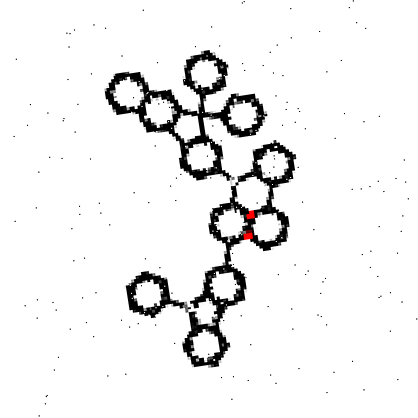 c1ccc(-c2ccccc2N(c2ccc(-c3ccc4c5ccccc5n(-c5ccccc5)c4c3)cc2)c2ccc3c(c2)C(c2ccccc2)(c2ccccc2)c2cc4ccccc4cc2-3)cc1